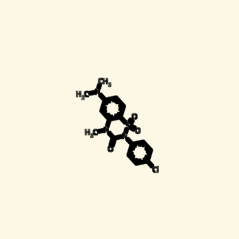 CN(C)c1ccc2c(c1)N(C)C(=O)N(c1ccc(Cl)cc1)S2(=O)=O